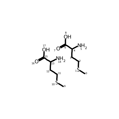 CSCCC(N)C(=O)O.CSCCC(N)C(=O)O